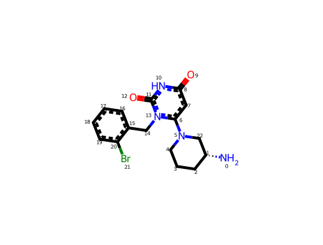 N[C@@H]1CCCN(c2cc(=O)[nH]c(=O)n2Cc2ccccc2Br)C1